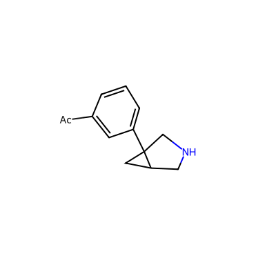 CC(=O)c1cccc(C23CNCC2C3)c1